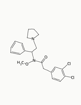 CON(C(=O)Cc1ccc(Cl)c(Cl)c1)C(CN1CCCC1)c1ccccc1